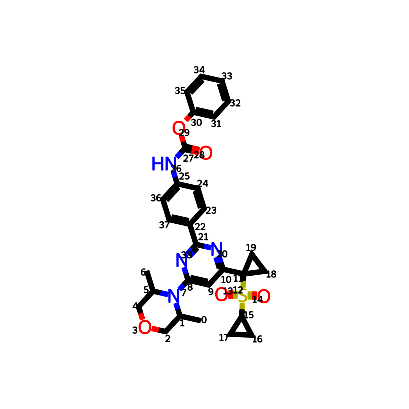 CC1COCC(C)N1c1cc(C2(S(=O)(=O)C3CC3)CC2)nc(-c2ccc(NC(=O)Oc3ccccc3)cc2)n1